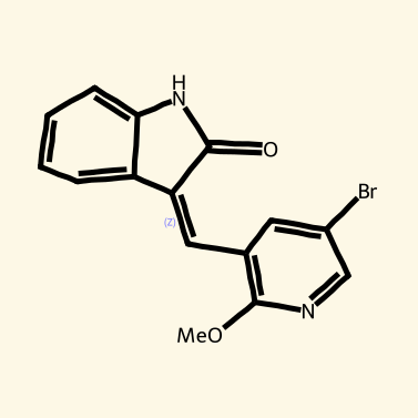 COc1ncc(Br)cc1/C=C1\C(=O)Nc2ccccc21